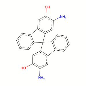 Nc1cc2c(cc1O)-c1ccccc1C21c2ccccc2-c2cc(N)c(O)cc21